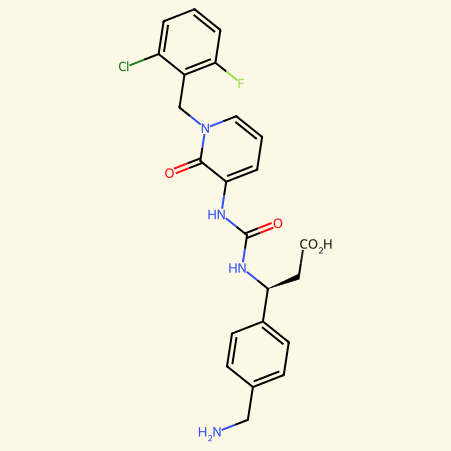 NCc1ccc([C@H](CC(=O)O)NC(=O)Nc2cccn(Cc3c(F)cccc3Cl)c2=O)cc1